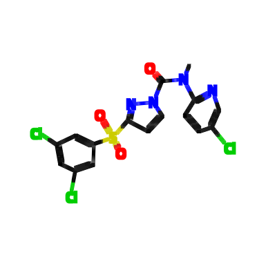 CN(C(=O)n1ccc(S(=O)(=O)c2cc(Cl)cc(Cl)c2)n1)c1ccc(Cl)cn1